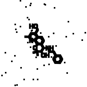 Cc1cc(CO)c2ccc3c(c2n1)OC(C)(C)[C@H](O)[C@H]3NCCc1ccccc1